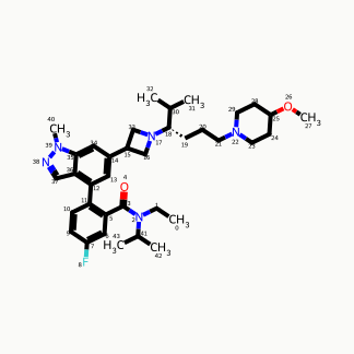 CCN(C(=O)c1cc(F)ccc1-c1cc(C2CN([C@@H](CCCN3CCC(OC)CC3)C(C)C)C2)cc2c1cnn2C)C(C)C